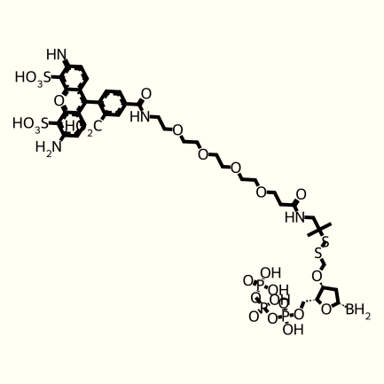 B[C@H]1C[C@@H](OCSSC(C)(C)CNC(=O)CCOCCOCCOCCOCCNC(=O)c2ccc(-c3c4ccc(=N)c(S(=O)(=O)O)c-4oc4c(S(=O)(=O)O)c(N)ccc34)c(C(=O)O)c2)[C@@H](COP(=O)(O)OP(=O)(O)OP(=O)(O)O)O1